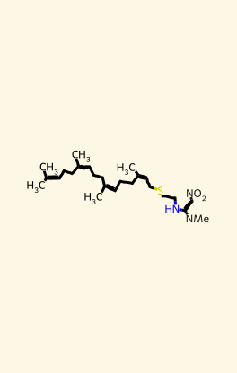 CNC(=C[N+](=O)[O-])NCCSCC=C(C)CCC=C(C)CCC=C(C)CCC=C(C)C